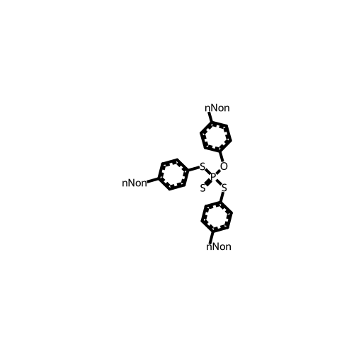 CCCCCCCCCc1ccc(OP(=S)(Sc2ccc(CCCCCCCCC)cc2)Sc2ccc(CCCCCCCCC)cc2)cc1